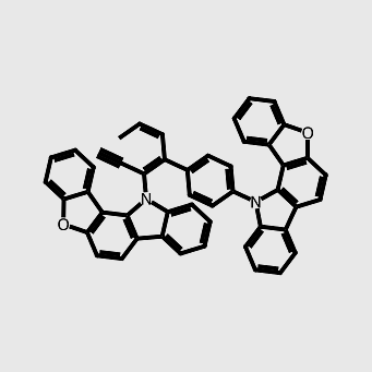 C#C/C(=C(\C=C/C)c1ccc(-n2c3ccccc3c3ccc4oc5ccccc5c4c32)cc1)n1c2ccccc2c2ccc3oc4ccccc4c3c21